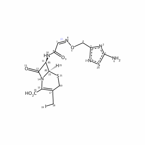 Nc1nc(CO/N=C\C(=O)N[C@@H]2C(=O)N3C(C(=O)O)=C(CI)CS[C@H]23)ns1